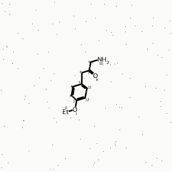 CCOc1ccc(CC(=O)CN)cc1